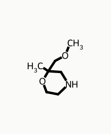 COCC1(C)CNCCO1